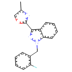 Cc1coc(-c2nn(Cc3ccccc3F)c3ccccc23)n1